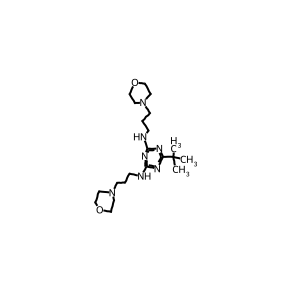 CC(C)(C)c1nc(NCCCN2CCOCC2)nc(NCCCN2CCOCC2)n1